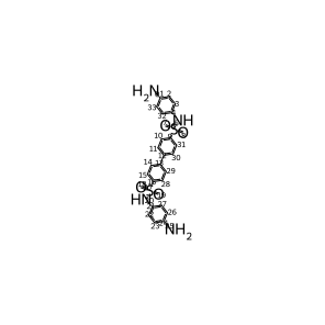 Nc1ccc(NS(=O)(=O)c2ccc(-c3ccc(S(=O)(=O)Nc4ccc(N)cc4)cc3)cc2)cc1